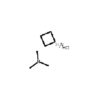 C1CCC1.CN(C)C.Cl.N